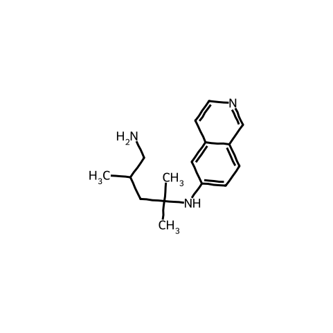 CC(CN)CC(C)(C)Nc1ccc2cnccc2c1